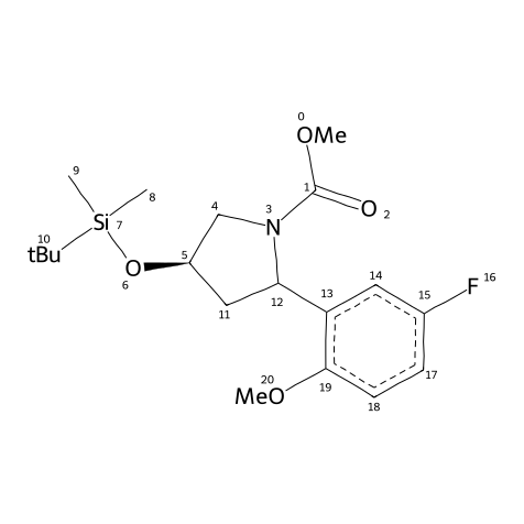 COC(=O)N1C[C@H](O[Si](C)(C)C(C)(C)C)CC1c1cc(F)ccc1OC